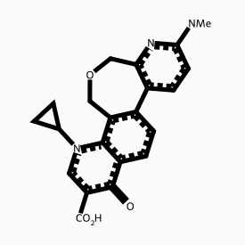 CNc1ccc2c(n1)COCc1c-2ccc2c(=O)c(C(=O)O)cn(C3CC3)c12